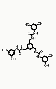 O=C(NCc1cc(CNC(=O)Nc2cc(O)cc(O)c2)cc(CNC(=O)Nc2cc(O)cc(O)c2)c1)Nc1cc(O)cc(O)c1